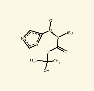 CC(C)(O)OC(=O)N([S+]([O-])c1cncs1)C(C)(C)C